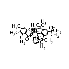 Cc1cc(C)c(C(=O)[P](=O)c2ccccc2C(=O)c2c(C(C)(C)C)cc(C(C)(C)C)cc2C(C)(C)C)c(C)c1C